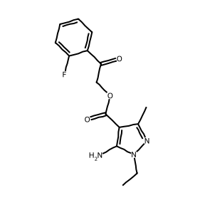 CCn1nc(C)c(C(=O)OCC(=O)c2ccccc2F)c1N